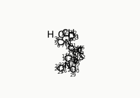 CC1(C)c2ccccc2N(c2ccc3c(c2)-c2ccc(N(c4ccccc4)c4ccccc4)cc2[Si]32c3ccccc3Sc3ccccc32)c2ccccc21